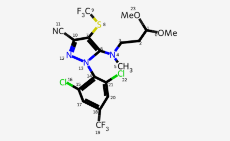 COC(CCN(C)c1c(SC(F)(F)F)c(C#N)nn1-c1c(Cl)cc(C(F)(F)F)cc1Cl)OC